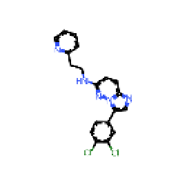 Clc1ccc(-c2cnc3ccc(NCCc4ccccn4)nn23)cc1Cl